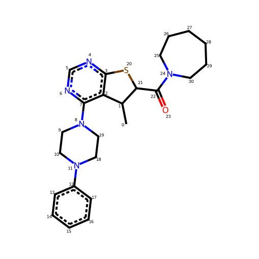 CC1c2c(ncnc2N2CCN(c3ccccc3)CC2)SC1C(=O)N1CCCCCC1